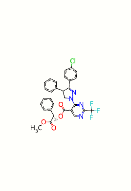 COC(=O)[C@@H](OC(=O)c1cnc(C(F)(F)F)nc1N1CC(c2ccccc2)C(c2ccc(Cl)cc2)=N1)c1ccccc1